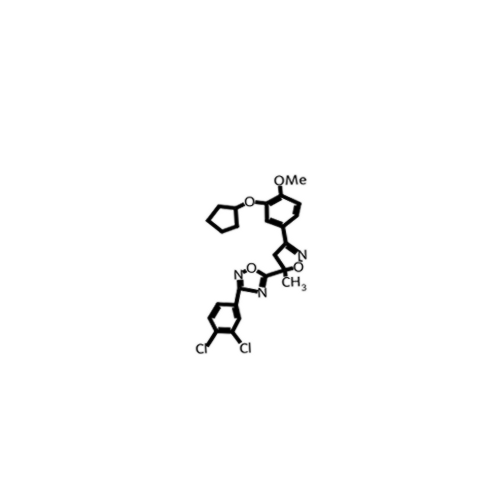 COc1ccc(C2=NOC(C)(c3nc(-c4ccc(Cl)c(Cl)c4)no3)C2)cc1OC1CCCC1